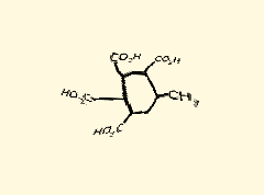 CC1CC(C(=O)O)C(C(=O)O)C(C(=O)O)C1C(=O)O